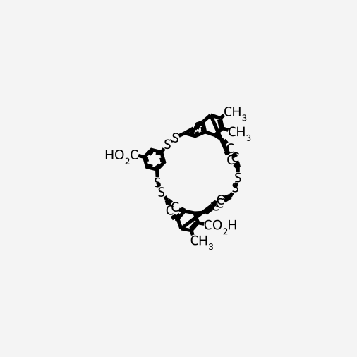 CC1=C(C)C2c3ccc4cc3C1c1ccc(cc12)SSc1ccc2c(c1)C1C(C)=C(C(=O)O)C2c2cc(ccc21)SSc1cc(cc(C(=O)O)c1)SS4